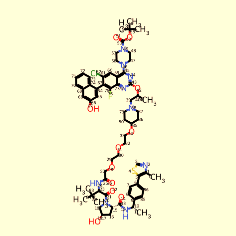 Cc1ncsc1-c1ccc([C@H](C)NC(=O)[C@@H]2C[C@@H](O)CN2C(=O)C(NC(=O)COCCOCCOC2CCN(CC(C)Oc3nc(N4CCN(C(=O)OC(C)(C)C)CC4)c4cc(Cl)c(-c5cc(O)cc6ccccc56)c(F)c4n3)CC2)C(C)(C)C)cc1